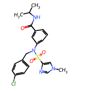 CC(C)NC(=O)c1cccc(N(Cc2ccc(Cl)cc2)S(=O)(=O)c2cn(C)cn2)c1